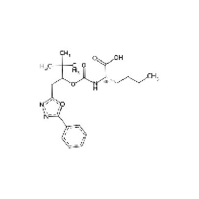 CCCC[C@H](NC(=O)OC(Cc1nnc(-c2ccccc2)o1)C(C)(C)C)C(=O)O